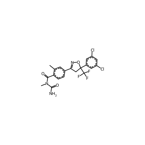 Cc1cc(C2=NOC(c3cc(Cl)cc(Cl)c3)(C(F)(F)F)C2)ccc1C(=O)N(C)C(N)=O